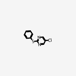 Clc1cnc(Sc2ccccc2)nc1